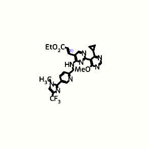 CCOC(=O)/C=C/c1cnc(-c2c(OC)ncnc2C2CC2)nc1NCc1ccc(-c2nc(C(F)(F)F)cn2C)cn1